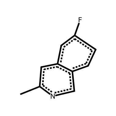 Cc1cc2cc(F)ccc2cn1